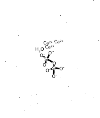 O.[Ca+2].[Ca+2].[Ca+2].[O-][Si]([O-])([O-])O[Si]([O-])([O-])[O-]